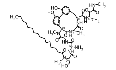 CCCCCCCCCCCCCCCC(=O)N(C)[C@H](CO)C(=O)N[C@H](N)C(=O)NCC(=O)N(C)[C@@H]1C(=O)N[C@@H](C)C(=O)N[C@H](C(=O)N[C@@H](C)C(=O)C(=O)NC)Cc2ccc(O)c(c2)-c2cc1ccc2O